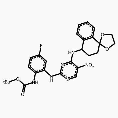 CC(C)(C)OC(=O)Nc1ccc(F)cc1Nc1ncc([N+](=O)[O-])c(NC2CCC3(OCCO3)c3ccccc32)n1